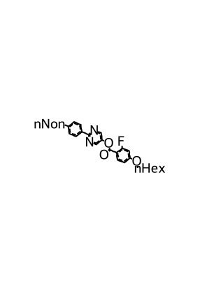 CCCCCCCCCc1ccc(-c2ncc(OC(=O)c3ccc(OCCCCCC)cc3F)cn2)cc1